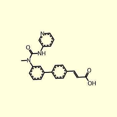 CN(C(=O)Nc1cccnc1)c1cccc(-c2ccc(C=CC(=O)O)cc2)c1